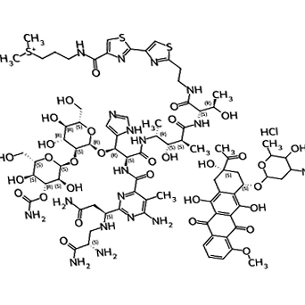 COc1cccc2c1C(=O)c1c(O)c3c(c(O)c1C2=O)C[C@@](O)(C(C)=O)C[C@@H]3OC1CC(N)C(O)C(C)O1.Cc1c(N)nc([C@H](CC(N)=O)NC[C@H](N)C(N)=O)nc1C(=O)N[C@H](C(=O)N[C@H](C)[C@@H](O)[C@H](C)C(=O)N[C@H](C(=O)NCCc1nc(-c2nc(C(=O)NCCC[S+](C)C)cs2)cs1)[C@@H](C)O)[C@@H](O[C@@H]1O[C@@H](CO)[C@H](O)[C@@H](O)[C@@H]1O[C@@H]1O[C@@H](CO)[C@H](O)[C@@H](OC(N)=O)[C@@H]1O)c1cnc[nH]1.Cl